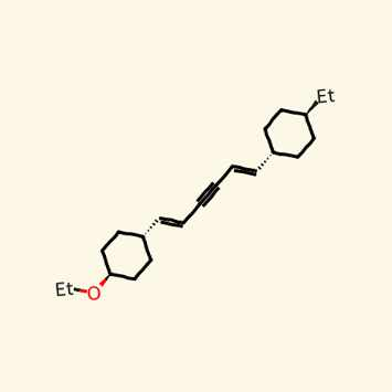 CCO[C@H]1CC[C@H](C=CC#CC=C[C@H]2CC[C@H](CC)CC2)CC1